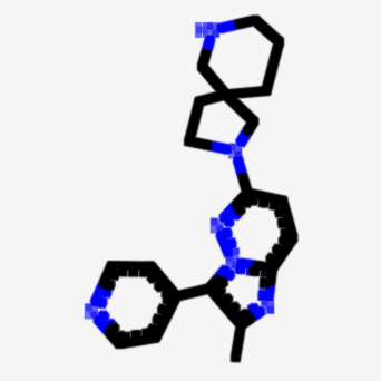 Cc1nc2ccc(N3CCC4(CCCNC4)C3)nn2c1-c1ccncc1